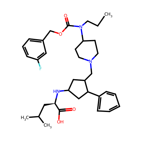 CCCN(C(=O)OCc1cccc(F)c1)C1CCN(CC2CC(N[C@H](CC(C)C)C(=O)O)CC2c2ccccc2)CC1